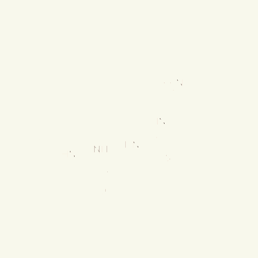 Cc1ccc(-c2ccccc2)cc1NNC(=O)C(NC(=S)Nc1ccccc1[N+](=O)[O-])c1ccccc1